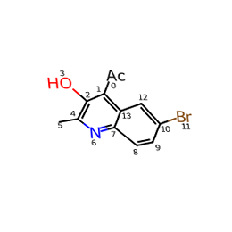 CC(=O)c1c(O)c(C)nc2ccc(Br)cc12